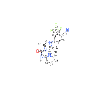 C[C@@H]1CN(c2ccc(C#N)c(C(F)(F)F)c2)C(C)(C)CN1C(=O)N(C)c1ccccn1